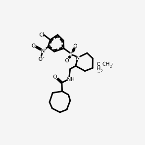 O=C(NCC1CCCCN1S(=O)(=O)c1ccc(Cl)c([N+](=O)[O-])c1)[C]1CCCCCCC1.[CH2].[CH2]